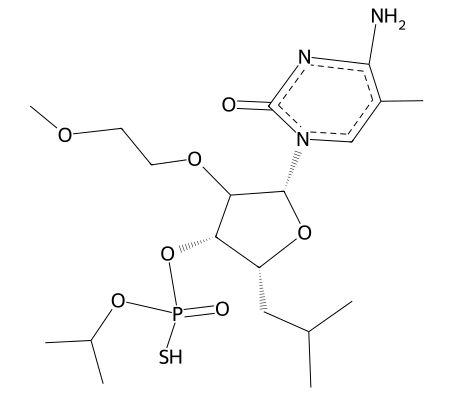 COCCOC1[C@@H](OP(=O)(S)OC(C)C)[C@@H](CC(C)C)O[C@H]1n1cc(C)c(N)nc1=O